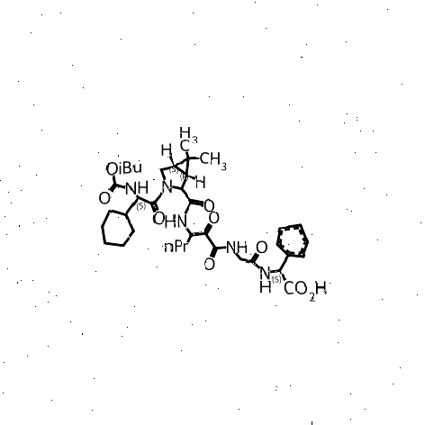 CCCC(NC(=O)C1[C@@H]2[C@H](CN1C(=O)[C@@H](NC(=O)OCC(C)C)C1CCCCC1)C2(C)C)C(=O)C(=O)NCC(=O)N[C@H](C(=O)O)c1ccccc1